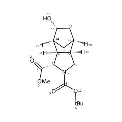 COC(=O)[C@@H]1[C@@H]2[C@H](CN1C(=O)OC(C)(C)C)[C@H]1C[C@@H]2[C@H](O)C1